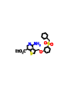 CCOC(=O)c1cnc(N)c2c(COc3cccc(S(=O)(=O)Cc4ccccc4)c3)csc12